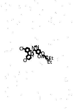 CCN(CC)CCCOc1cc2ncnc(Nc3ccc(Cl)cc3C3=CC(=O)C=CC3=O)c2cc1OC